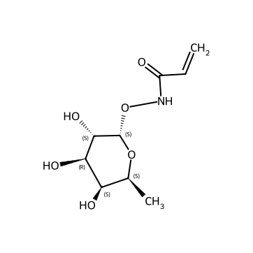 C=CC(=O)NO[C@@H]1O[C@@H](C)[C@@H](O)[C@@H](O)[C@@H]1O